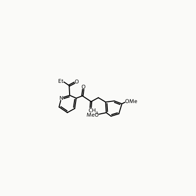 C=C(Cc1cc(OC)ccc1OC)C(=O)c1cccnc1C(=O)CC